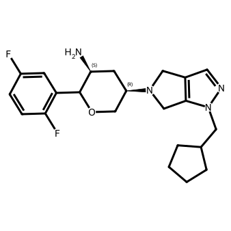 N[C@H]1C[C@@H](N2Cc3cnn(CC4CCCC4)c3C2)COC1c1cc(F)ccc1F